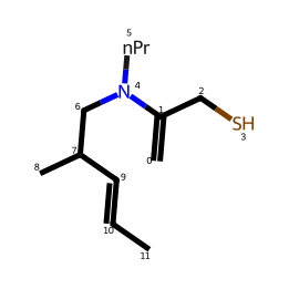 C=C(CS)N(CCC)CC(C)C=CC